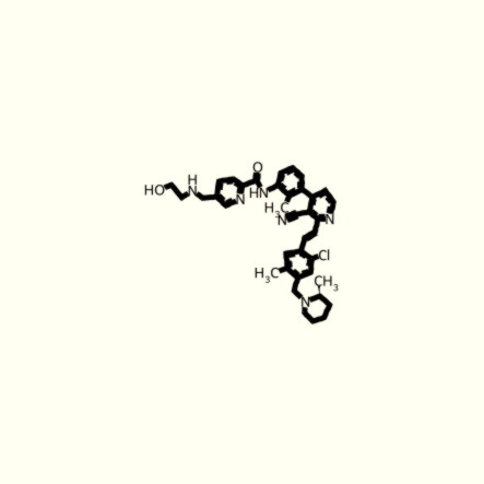 Cc1cc(/C=C/c2nccc(-c3cccc(NC(=O)c4ccc(CNCCO)cn4)c3C)c2C#N)c(Cl)cc1CN1CCCC[C@H]1C